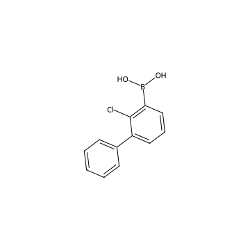 OB(O)c1cccc(-c2ccccc2)c1Cl